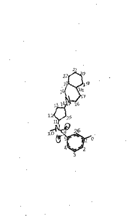 Cc1cccc(S(=O)(=O)N(C)C2CCC(N3CCC4CCCCC4C3)C2)c1